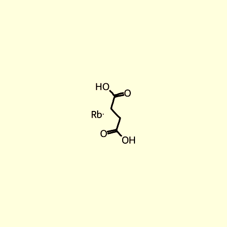 O=C(O)CCC(=O)O.[Rb]